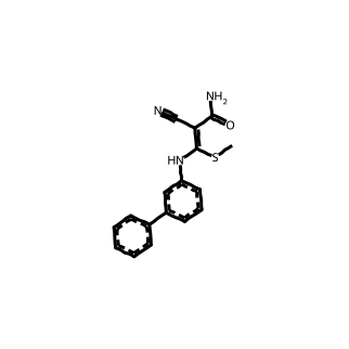 CS/C(Nc1cccc(-c2ccccc2)c1)=C(/C#N)C(N)=O